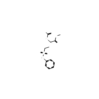 COC(=O)[C@H](CCS(=O)(=O)Nc1ccccc1)NC(=O)O